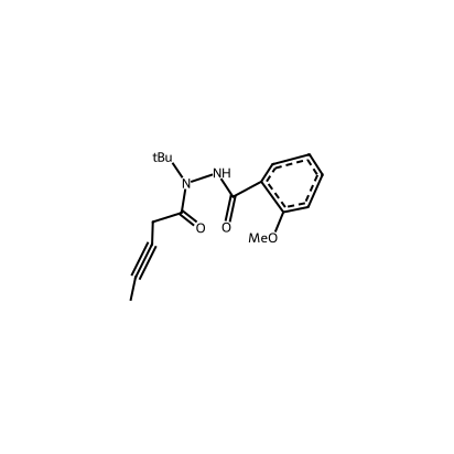 CC#CCC(=O)N(NC(=O)c1ccccc1OC)C(C)(C)C